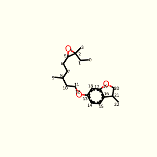 CCC1(C)OC1CCC(C)CCOc1ccc2c(c1)OCC2C